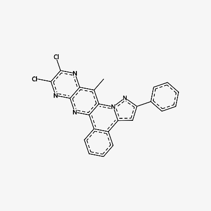 Cc1c2nc(Cl)c(Cl)nc2nc2c3ccccc3c3cc(-c4ccccc4)nn3c12